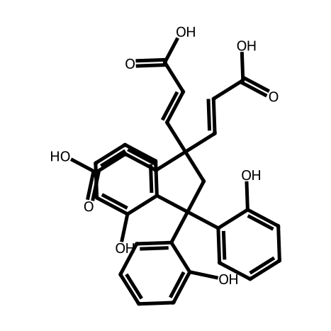 O=C(O)C=CC(C=CC(=O)O)(C=CC(=O)O)CC(c1ccccc1O)(c1ccccc1O)c1ccccc1O